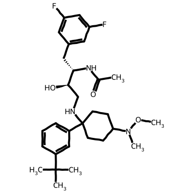 CON(C)C1CCC(NC[C@@H](O)[C@H](Cc2cc(F)cc(F)c2)NC(C)=O)(c2cccc(C(C)(C)C)c2)CC1